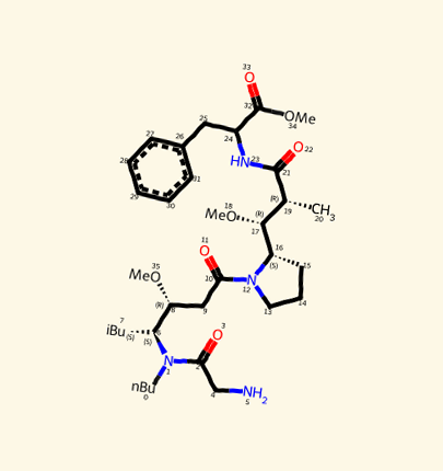 CCCCN(C(=O)CN)[C@@H]([C@@H](C)CC)[C@@H](CC(=O)N1CCC[C@H]1[C@H](OC)[C@@H](C)C(=O)NC(Cc1ccccc1)C(=O)OC)OC